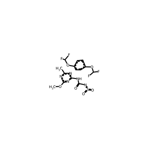 COc1nc(C)nc(NC(=O)N=S(=O)=O)n1.FC(F)Oc1ccc(OC(F)F)cc1